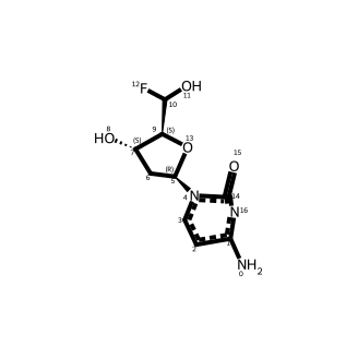 Nc1ccn([C@H]2C[C@H](O)[C@@H](C(O)F)O2)c(=O)n1